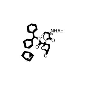 CC(=O)N[C@H]1CON(C2(C(=O)OC(c3ccccc3)c3ccccc3)CCC(=O)O2)C1=O.c1cc2ccc1o2